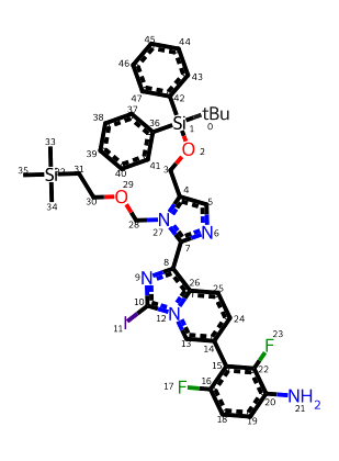 CC(C)(C)[Si](OCc1cnc(-c2nc(I)n3cc(-c4c(F)ccc(N)c4F)ccc23)n1COCC[Si](C)(C)C)(c1ccccc1)c1ccccc1